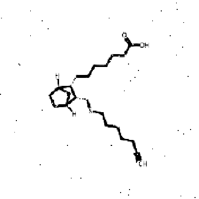 C#CCCCCCSC[C@@H]1[C@@H]2CC[C@@H](C2)[C@@H]1CCCCCCC(=O)O